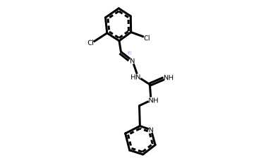 N=C(NCc1ccccn1)N/N=C/c1c(Cl)cccc1Cl